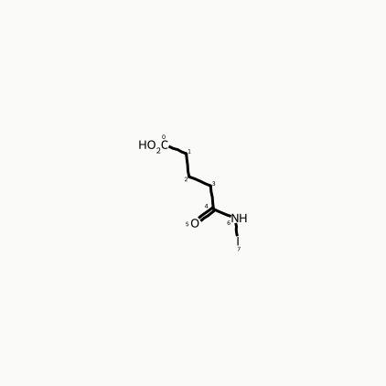 O=C(O)CCCC(=O)NI